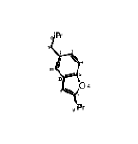 CC(C)Cc1ccc2oc(C(C)C)cc2c1